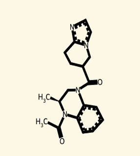 CC(=O)N1c2ccccc2N(C(=O)C2CCc3nccn3C2)C[C@@H]1C